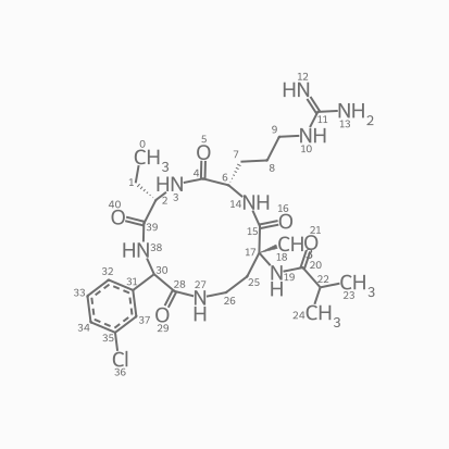 CC[C@@H]1NC(=O)[C@H](CCCNC(=N)N)NC(=O)[C@](C)(NC(=O)C(C)C)CCNC(=O)C(c2cccc(Cl)c2)NC1=O